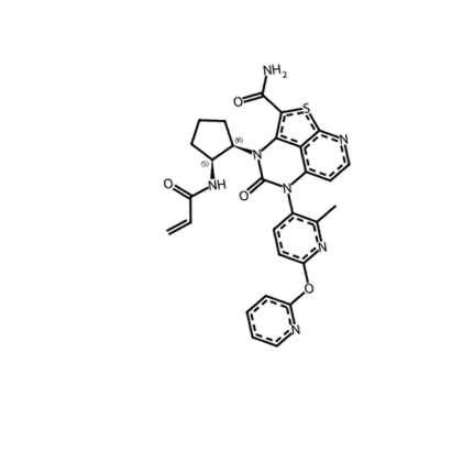 C=CC(=O)N[C@H]1CCC[C@H]1N1C(=O)N(c2ccc(Oc3ccccn3)nc2C)c2ccnc3sc(C(N)=O)c1c23